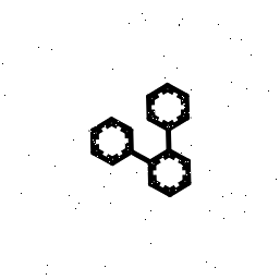 [c]1ccc(-c2ccccc2-c2[c]cccc2)cc1